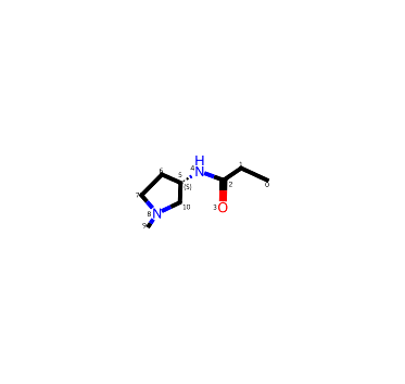 CCC(=O)N[C@H]1CCN(C)C1